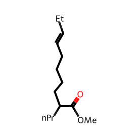 CC/C=C/CCCCC(CCC)C(=O)OC